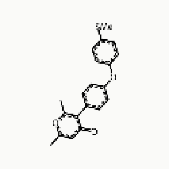 CSc1ccc(Oc2ccc(-c3c(C)oc(C)cc3=O)cc2)cc1